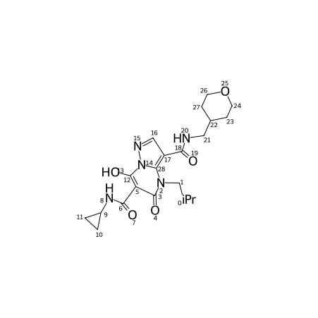 CC(C)Cn1c(=O)c(C(=O)NC2CC2)c(O)n2ncc(C(=O)NCC3CCOCC3)c12